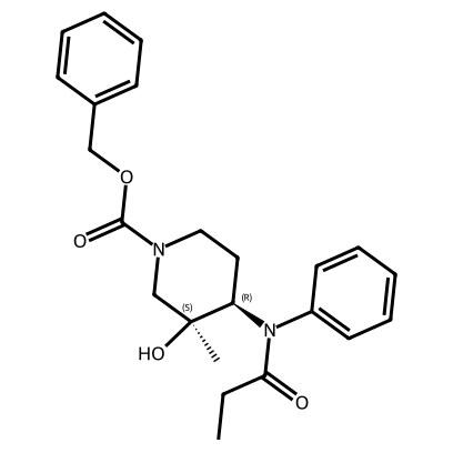 CCC(=O)N(c1ccccc1)[C@@H]1CCN(C(=O)OCc2ccccc2)C[C@]1(C)O